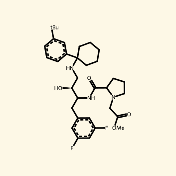 COC(=O)CN1CCCC1C(=O)NC(Cc1cc(F)cc(F)c1)[C@@H](O)CNC1(c2cccc(C(C)(C)C)c2)CCCCC1